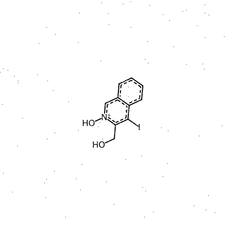 OCc1c(I)c2ccccc2c[n+]1O